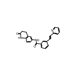 O=C1CCc2cc(NC(=O)c3cccc(C#Cc4ccccn4)c3)ccc2N1